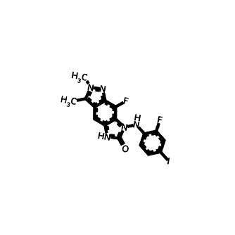 Cc1c2cc3[nH]c(=O)n(Nc4ccc(I)cc4F)c3c(F)c2nn1C